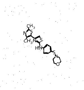 Cc1nc(C)c(-c2csc(Nc3ccc(SN4CCOCC4)cc3)n2)s1